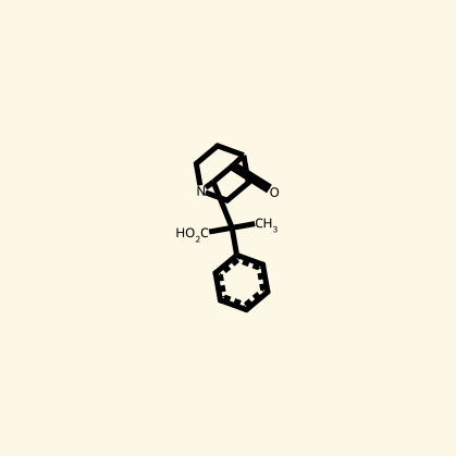 CC(C(=O)O)(c1ccccc1)C1C(=O)C2CCN1CC2